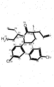 C=CC[C@@]1(C)C[C@H](c2cccc(Cl)c2)[C@@H](c2ccc(Cl)cc2)N([C@@H](CC)CN)C1=O